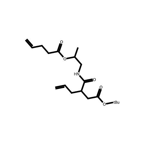 C=CCCC(=O)OC(C)CNC(=O)C(CC=C)CC(=O)OC(C)(C)C